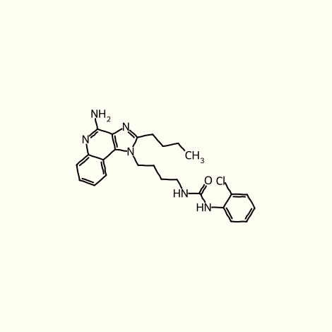 CCCCc1nc2c(N)nc3ccccc3c2n1CCCCNC(=O)Nc1ccccc1Cl